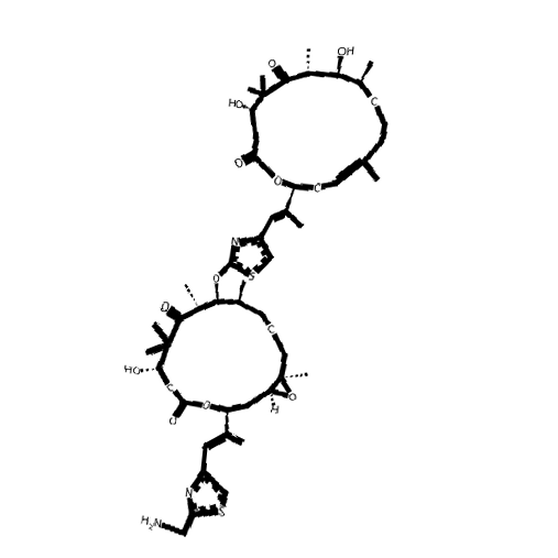 C/C1=C/C[C@@H](/C(C)=C/c2csc(O[C@H]3[C@@H](C)CCC[C@@]4(C)O[C@H]4C[C@@H](/C(C)=C/c4csc(CN)n4)OC(=O)C[C@H](O)C(C)(C)C(=O)[C@@H]3C)n2)OC(=O)C[C@H](O)C(C)(C)C(=O)[C@H](C)[C@@H](O)[C@@H](C)CCC1